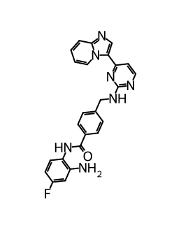 Nc1cc(F)ccc1NC(=O)c1ccc(CNc2nccc(-c3cnc4ccccn34)n2)cc1